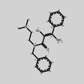 CC(=O)C(C(=O)N(CCN(C)C)Cc1ccccc1)=C(N)c1ccccc1